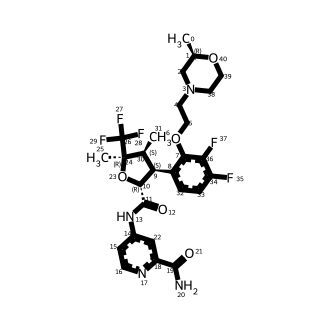 C[C@@H]1CN(CCOc2c([C@H]3[C@H](C(=O)Nc4ccnc(C(N)=O)c4)O[C@@](C)(C(F)(F)F)[C@H]3C)ccc(F)c2F)CCO1